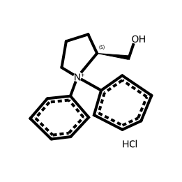 Cl.OC[C@@H]1CCC[N+]1(c1ccccc1)c1ccccc1